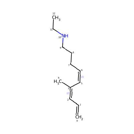 C=C/C=C(C)\C=C/CCCNCC